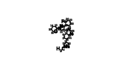 Cn1cc(-c2ccc3c(-c4cn(C5CCCCO5)nc4-c4ccccc4F)ncnc3c2)cn1